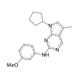 COc1cccc(Nc2ncc3c(C)cn(C4CCCC4)c3n2)c1